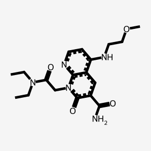 CCN(CC)C(=O)Cn1c(=O)c(C(N)=O)cc2c(NCCOC)ccnc21